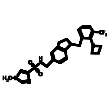 Cn1cnc(S(=O)(=O)NCc2ccc3c(c2)CCC3Cc2cccc(C(F)(F)F)c2N2CCC2)c1